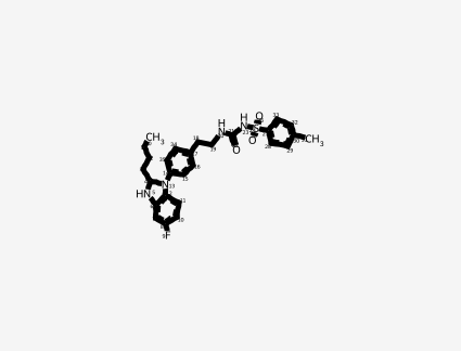 CCCCC1Nc2cc(F)ccc2N1c1ccc(CCNC(=O)NS(=O)(=O)c2ccc(C)cc2)cc1